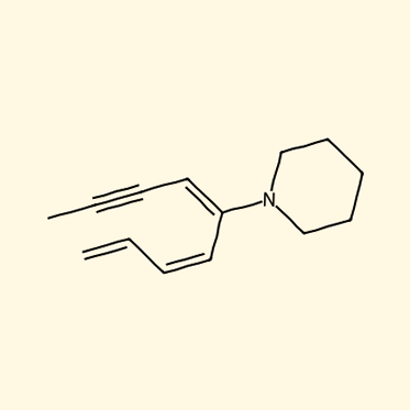 C=C/C=C\C(=C/C#CC)N1CCCCC1